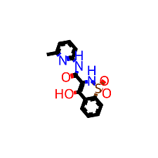 Cc1cccc(NC(=O)C2=C(O)c3ccccc3S(=O)(=O)N2)n1